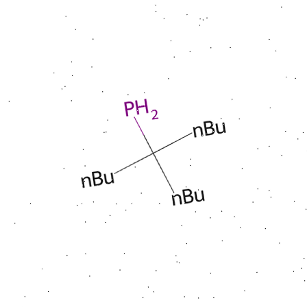 CCCCC(P)(CCCC)CCCC